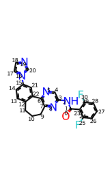 O=C(Nc1cnc2c(n1)CCCc1ccc(-n3ccnc3)cc1-2)c1c(F)cccc1F